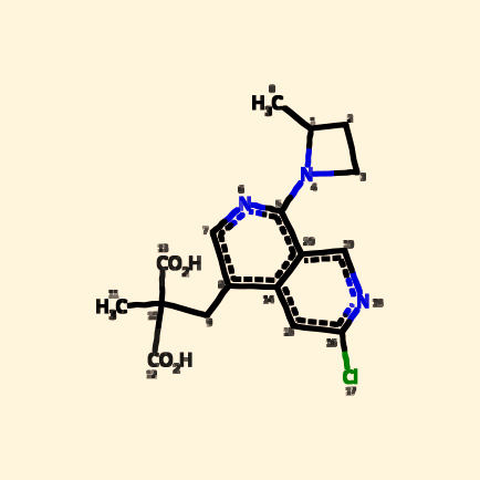 CC1CCN1c1ncc(CC(C)(C(=O)O)C(=O)O)c2cc(Cl)ncc12